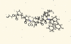 C=CCOC(=O)N1CCC[C@H]1CN1CC/C(=C\C2=C(C(=O)O)N3C(=O)[C@@H](NC(=O)/C(=N\OC(c4ccccc4)(c4ccccc4)c4ccccc4)c4nsc(N)n4)[C@H]3SC2)C1=O